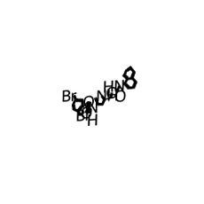 O=C(Nc1cccc2ccccc12)OC[C@H]1C[C@@H](NS(=O)(=O)c2cc(Br)ccc2Br)CN1